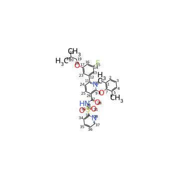 Cc1cccc(C)c1Oc1nc(-c2cc(F)cc(OCC(C)C)c2)ccc1C(=O)NS(=O)(=O)c1ccccn1